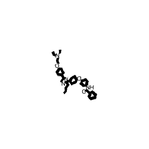 CCCCC1(c2ccc(Oc3ccc(NC(=O)c4ccccc4)cc3)cc2)N=CC(c2ccc(OCCCN(CC)CC)cc2)=N1